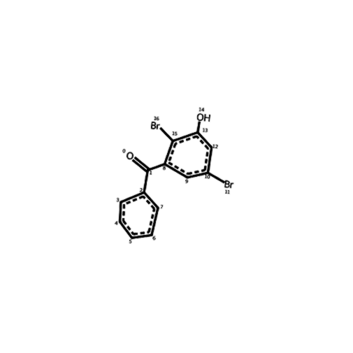 O=C(c1ccccc1)c1cc(Br)cc(O)c1Br